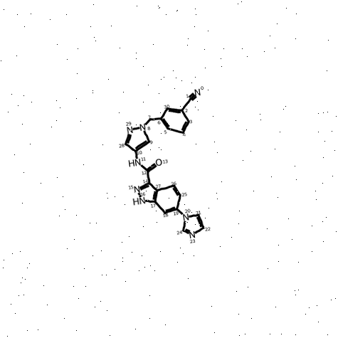 N#Cc1cccc(Cn2cc(NC(=O)c3n[nH]c4cc(-n5ccnc5)ccc34)cn2)c1